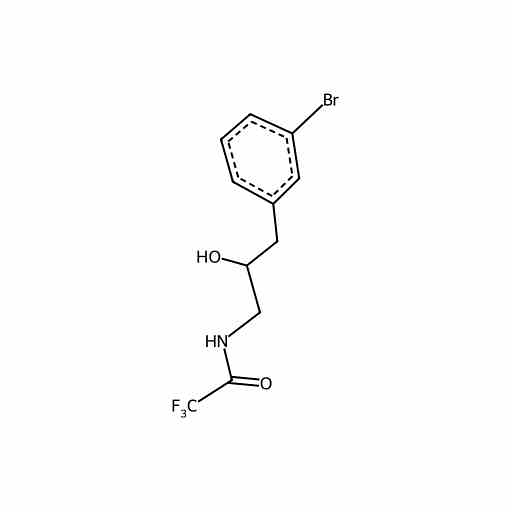 O=C(NCC(O)Cc1cccc(Br)c1)C(F)(F)F